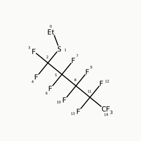 [CH2]CSC(F)(F)C(F)(F)C(F)(F)C(F)(F)C(F)(F)F